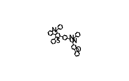 c1ccc(-c2nc(-c3ccc(-c4cc5c(-c6ccccc6)nc6ccccc6c5c5c4sc4ccccc45)cc3)cc(-c3ccc4c(c3)oc3ccccc34)n2)cc1